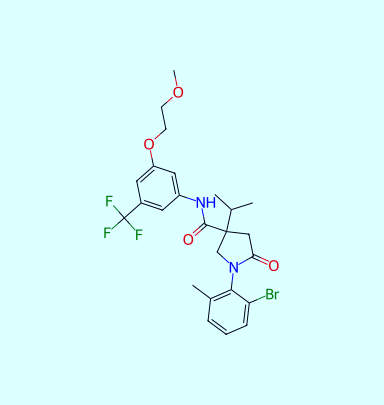 COCCOc1cc(NC(=O)C2(C(C)C)CC(=O)N(c3c(C)cccc3Br)C2)cc(C(F)(F)F)c1